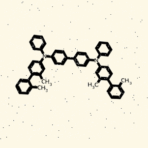 Cc1ccccc1-c1ccc(N(c2ccccc2)c2ccc(-c3ccc(N(c4ccccc4)c4ccc(-c5ccccc5C)c(C)c4)cc3)cc2)cc1C